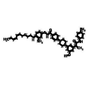 C=C/C=C\C=C/CSCCNc1ccc(SNC(=O)c2ccc(N3CCN(c4cc(OCC)cc(C(C)C(=O)Nc5ccc(P)cc5)c4)CC3)cc2)cc1N